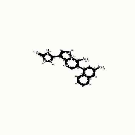 Cc1cc(-c2cnc3c(-c4noc(=O)[nH]4)cnn3c2N)c2ccccc2c1